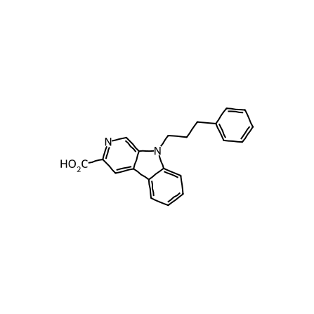 O=C(O)c1cc2c3ccccc3n(CCCc3ccccc3)c2cn1